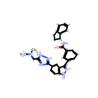 CN(C)Cc1nc(-c2ccc3[nH]nc(-c4cccc(C(=O)N[C@@H]5CCc6ccccc65)c4)c3c2)n[nH]1